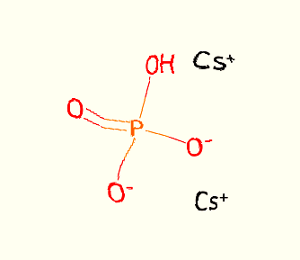 O=P([O-])([O-])O.[Cs+].[Cs+]